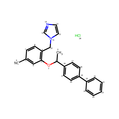 CC(Oc1cc(C#N)ccc1Cn1ccnc1)c1ccc(-c2ccccc2)cc1.Cl